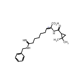 CC1(C)CC1C(=O)N/C(=C\CCCCCC(=N)NCc1ccccc1)C(=O)O